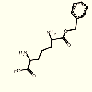 NC(CCC[C@H](N)C(=O)O)C(=O)OCc1ccccc1